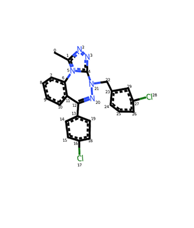 Cc1nnc2n1-c1ccccc1C(c1ccc(Cl)cc1)=NN2Cc1cccc(Cl)c1